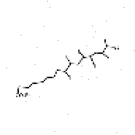 CCOC(=O)CCCCCCCC(I)C(I)CC(I)C(I)CC(I)C(I)CC